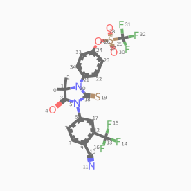 CC1(C)C(=O)N(c2ccc(C#N)c(C(F)(F)F)c2)C(=S)N1c1ccc(OS(=O)(=O)C(F)(F)F)cc1